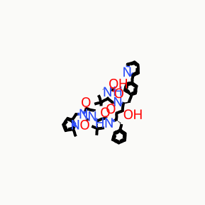 Cc1cccc(CN2C(=O)CN([C@H](C(=O)N[C@@H](Cc3ccccc3)C[C@H](O)[C@H](Cc3ccc(-c4ccccn4)cc3)NC(=O)[C@@H](N(C)C(=O)O)C(C)(C)C)C(C)(C)C)C2=O)n1